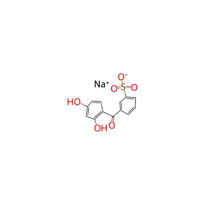 O=C(c1cccc(S(=O)(=O)[O-])c1)c1ccc(O)cc1O.[Na+]